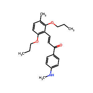 CCCOc1ccc(C)c(OCCC)c1C=CC(=O)c1ccc(NC)cc1